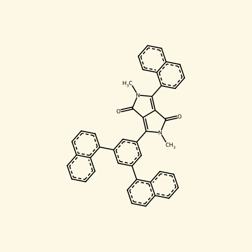 CN1C(=O)C2=C(c3cccc4ccccc34)N(C)C(=O)C2=C1c1cc(-c2cccc3ccccc23)cc(-c2cccc3ccccc23)c1